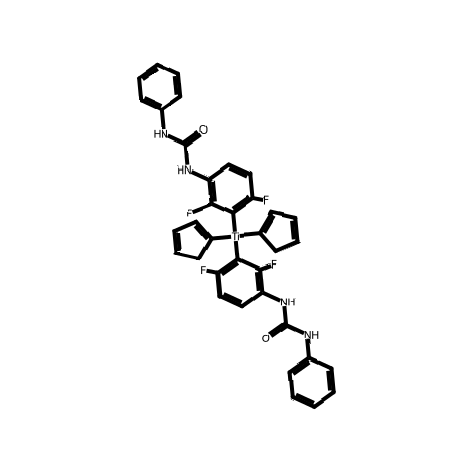 O=C(Nc1ccccc1)Nc1ccc(F)[c]([Ti]([C]2=CC=CC2)([C]2=CC=CC2)[c]2c(F)ccc(NC(=O)Nc3ccccc3)c2F)c1F